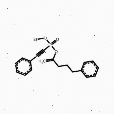 C=C(CCCc1ccccc1)OP(=O)(C#Cc1ccccc1)OCC